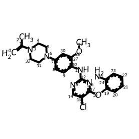 C=C(C)N1CCN(c2ccc(Nc3ncc(Cl)c(Oc4ccccc4N)n3)c(OC)c2)CC1